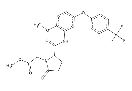 COC(=O)CN1C(=O)CCC1C(=O)Nc1cc(Oc2ccc(C(F)(F)F)cc2)ccc1OC